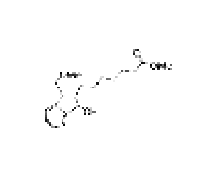 COCC1c2ccccc2C(O)C1CCCCCCC(=O)OC